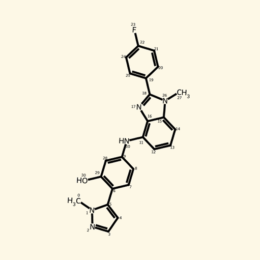 Cn1nccc1-c1ccc(Nc2cccc3c2nc(-c2ccc(F)cc2)n3C)cc1O